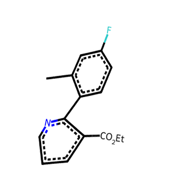 CCOC(=O)c1cccnc1-c1ccc(F)cc1C